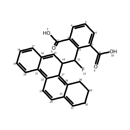 O=C(O)c1cccc(C(=O)O)c1C(F)C1C=c2ccccc2=c2ccc3c(c21)CCCC=3